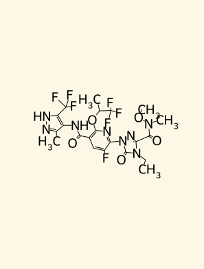 CCn1c(C(=O)N(C)OC)nn(-c2nc(OC(C)C(F)(F)F)c(C(=O)Nc3c(C)n[nH]c3C(F)(F)F)cc2F)c1=O